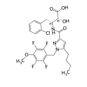 CCCCc1cc(C(=O)N[C@H](Cc2ccccc2Cl)[C@@H](O)C(=O)O)nn1Cc1c(F)c(F)c(OC)c(F)c1F